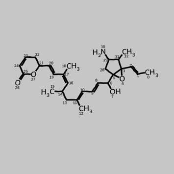 C/C=C/C12OC1(C(O)/C=C/C=C(\C)CC(C)/C=C(C)\C=C\C1CC=CC(=O)O1)CC(N)C2C